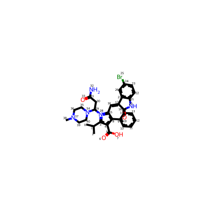 CC(C)c1c(C(=O)O)c(-c2ccccc2)c(C=C2C(=O)Nc3ccc(Br)cc32)n1C(CC(N)=O)N1CCN(C)CC1